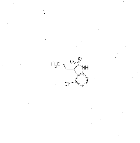 CCCC1c2c(Cl)cccc2NS1(=O)=O